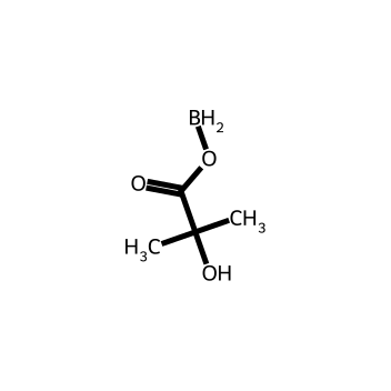 BOC(=O)C(C)(C)O